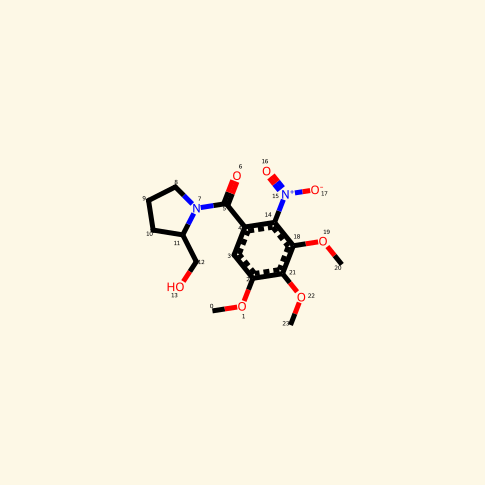 COc1cc(C(=O)N2CCCC2CO)c([N+](=O)[O-])c(OC)c1OC